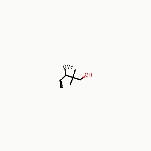 C=CC(OC)C(C)(C)CO